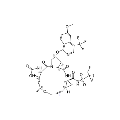 COc1ccc2c(O[C@@H]3C[C@H]4C(=O)N[C@]5(C(=O)NS(=O)(=O)C6(CF)CC6)C[C@H]5/C=C\CC[C@@H](C)C[C@@H](C)[C@H](NC(=O)O)C(=O)N4C3)ncc(C(F)(F)F)c2c1